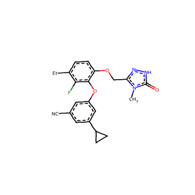 CCc1ccc(OCc2n[nH]c(=O)n2C)c(Oc2cc(C#N)cc(C3CC3)c2)c1F